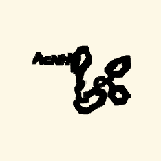 CC(=O)Nc1cccc(CCN2CCCCC2OC(c2ccccc2)c2ccccc2)c1